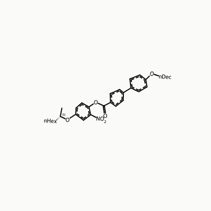 CCCCCCCCCCOc1ccc(-c2ccc(C(=O)Oc3ccc(O[C@@H](C)CCCCCC)cc3[N+](=O)[O-])cc2)cc1